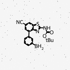 Bc1cccc(-c2cc(C#N)cc3sc(NC(=O)OC(C)(C)C)nc23)c1